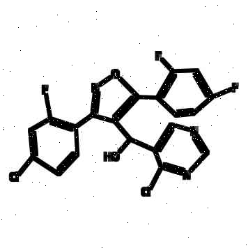 OC(c1cncnc1Cl)c1c(-c2ccc(Cl)cc2F)noc1-c1ccc(F)cc1F